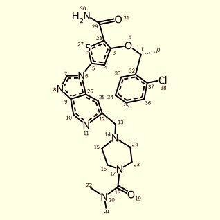 C[C@@H](Oc1cc(-n2cnc3cnc(CN4CCN(C(=O)N(C)C)CC4)cc32)sc1C(N)=O)c1ccccc1Cl